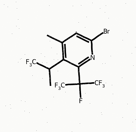 Cc1[c]c(Br)nc(C(F)(C(F)(F)F)C(F)(F)F)c1C(C)C(F)(F)F